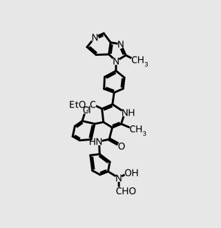 CCOC(=O)C1=C(c2ccc(-n3c(C)nc4cnccc43)cc2)NC(C)=C(C(=O)Nc2cccc(N(O)C=O)c2)C1c1ccccc1Cl